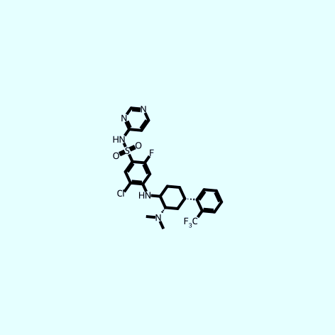 CN(C)[C@H]1C[C@@H](c2ccccc2C(F)(F)F)CCC1Nc1cc(F)c(S(=O)(=O)Nc2ccncn2)cc1Cl